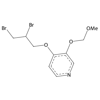 COCOc1cnccc1OCC(Br)CBr